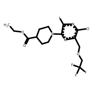 CCOC(=O)C1CCN(c2nc(COCC(F)(F)F)c(Cl)nc2I)CC1